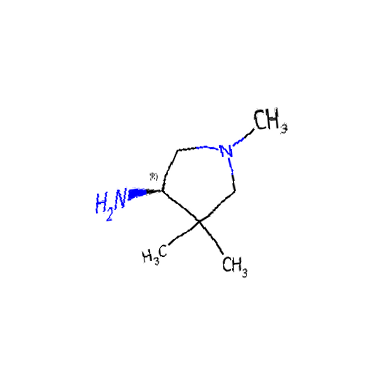 CN1C[C@H](N)C(C)(C)C1